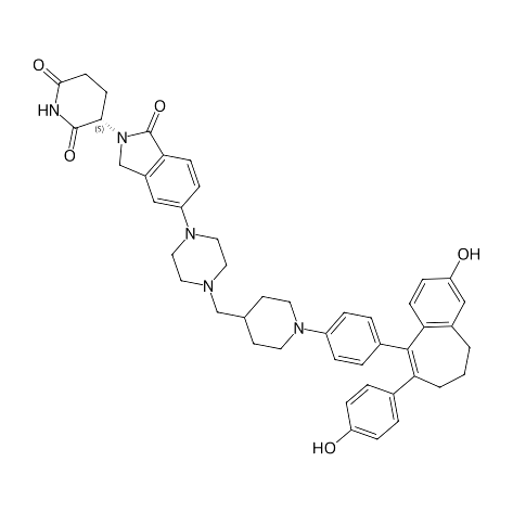 O=C1CC[C@H](N2Cc3cc(N4CCN(CC5CCN(c6ccc(C7=C(c8ccc(O)cc8)CCCc8cc(O)ccc87)cc6)CC5)CC4)ccc3C2=O)C(=O)N1